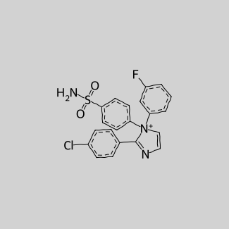 NS(=O)(=O)c1ccc([N+]2(c3cccc(F)c3)C=CN=C2c2ccc(Cl)cc2)cc1